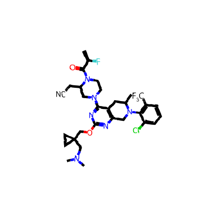 C=C(F)C(=O)N1CCN(c2nc(OCC3(CN(C)C)CC3)nc3c2CC(C)N(c2c(Cl)cccc2C(F)(F)F)C3)CC1CC#N